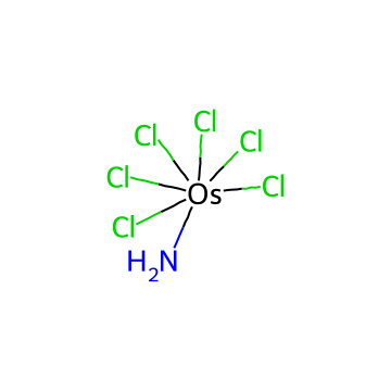 [NH2][Os]([Cl])([Cl])([Cl])([Cl])([Cl])[Cl]